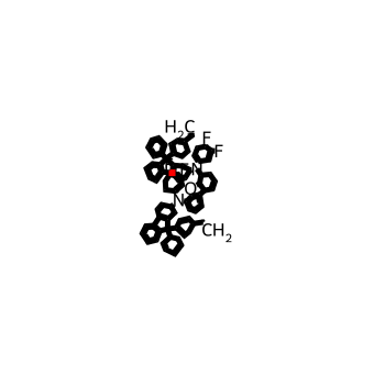 C=CC1=CC=C(C2(c3ccccc3)C3=C(C=CC(N(C4=CCC(F)C(F)=C4)C4CC=CC5c6cccc(N(C7=CC(F)=C(F)CC7)C7C=CC8=C(C7)C(C7=CCC(C=C)C=C7)(C7C=CC=CC7)c7ccccc78)c6OC54)C3)c3ccccc32)CC1